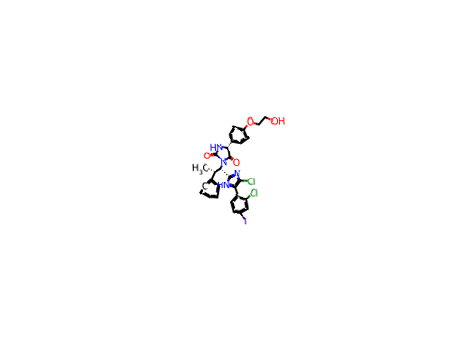 C[C@@H](c1ccccc1)[C@@H](c1nc(Cl)c(-c2ccc(I)cc2Cl)[nH]1)N1C(=O)N[C@H](c2ccc(OCCO)cc2)C1=O